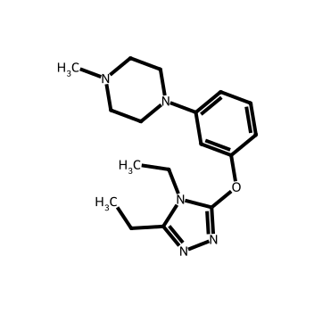 CCc1nnc(Oc2cccc(N3CCN(C)CC3)c2)n1CC